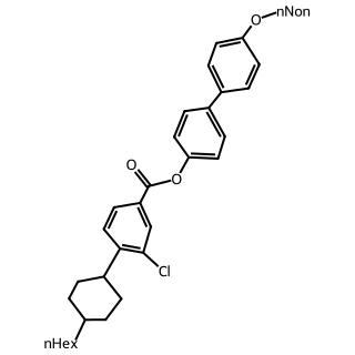 CCCCCCCCCOc1ccc(-c2ccc(OC(=O)c3ccc(C4CCC(CCCCCC)CC4)c(Cl)c3)cc2)cc1